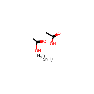 CC(=O)O.CC(=O)O.[InH3].[SnH2]